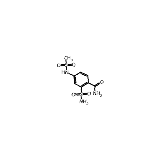 CS(=O)(=O)Nc1ccc(C(N)=O)c(S(N)(=O)=O)c1